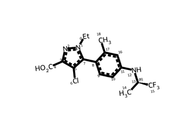 CCn1nc(C(=O)O)c(Cl)c1-c1ccc(N[C@H](C)C(F)(F)F)cc1C